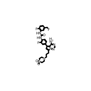 Nc1ncnn2c(CCCN3CCS(=O)(=O)CC3)cc(-c3ccc(NC(=O)Nc4cc(CF)ccc4F)c(F)c3)c12